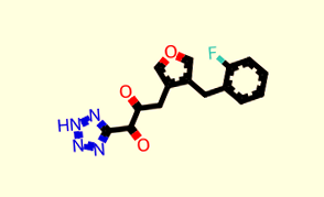 O=C(Cc1cocc1Cc1ccccc1F)C(=O)c1nn[nH]n1